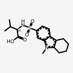 CC(C)[C@@H](NS(=O)(=O)c1ccc2c3c(n(C)c2c1)CCCC3)C(=O)O